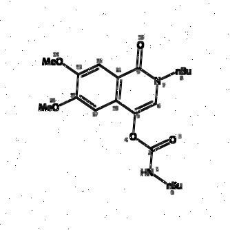 CCCCNC(=O)Oc1cn(CCCC)c(=O)c2cc(OC)c(OC)cc12